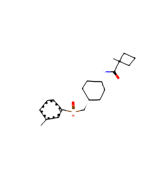 O=C(N[C@H]1CC[C@H](CS(=O)(=O)c2cccc(C(F)(F)F)c2)CC1)C1(C(F)(F)F)CCC1